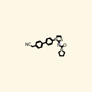 N#CCc1ccc(-c2ccc(-n3ccs/c3=N\C(=O)N3CCCC3)cc2)cc1